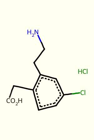 Cl.NCCc1cc(Cl)ccc1CC(=O)O